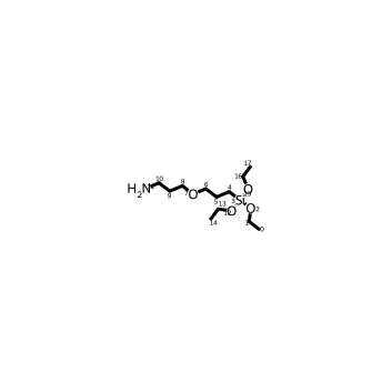 CCO[Si](CCCOCCCN)(OCC)OCC